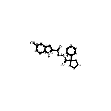 O=C(NNC(=O)C1(c2ccccc2)CCCC1)c1cc2cc(Cl)ccc2[nH]1